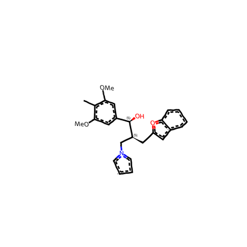 COc1cc([C@@H](O)[C@@H](Cc2cc3ccccc3o2)Cn2c[c]cc2)cc(OC)c1C